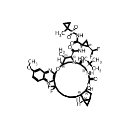 COc1ccc2nc3c(nc2c1)O[C@H]1CN(C(=O)[C@H](C(C)(C)C)NC(=O)O[C@@H]2CC4C[C@@H]4[C@H]2CCCCC3(F)F)[C@H](C(=O)N[C@]2(C(=O)NS(=O)(=O)C3(C)CC3)C[C@H]2C(F)F)[C@@H]1C